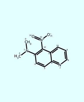 CN(C)c1ccc2ncccc2c1[N+](=O)[O-]